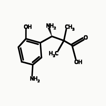 CC(C)(C(=O)O)[C@@H](N)c1cc(N)ccc1O